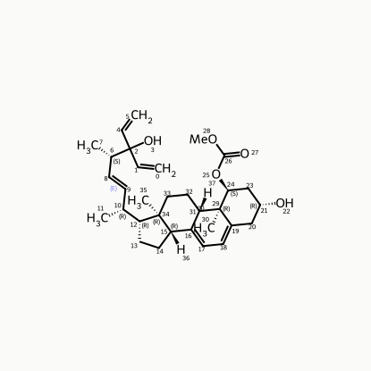 C=CC(O)(C=C)[C@@H](C)/C=C/[C@@H](C)[C@H]1CC[C@H]2C3=CC=C4C[C@@H](O)C[C@H](OC(=O)OC)[C@]4(C)[C@H]3CC[C@]12C